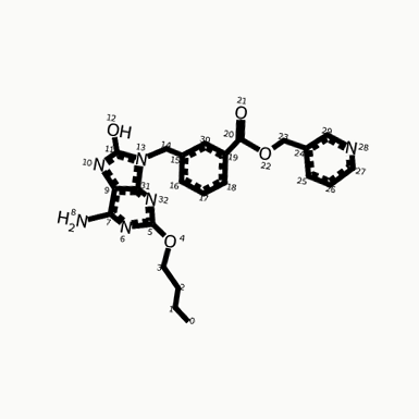 CCCCOc1nc(N)c2nc(O)n(Cc3cccc(C(=O)OCc4cccnc4)c3)c2n1